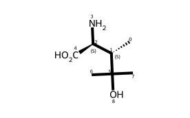 C[C@@H]([C@H](N)C(=O)O)C(C)(C)O